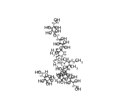 CC/C=C1\C(C(C)(C)CCCC(CCC)C(C)CCC(OC(O)/C(OC(O)/C(O)=C(\O)C(O)CCO)=C(/O)C(O)CCOC(O)/C(O)=C(/O)C(O)CCO)C(C)(C)O)CCC(OC(O)/C(O)=C(\O)C(O)CCOC(O)/C(O)=C(/O)C(O)CCO)C1(C)C